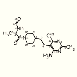 Cc1nc(N)c(CCC2CCN(C(=O)C(C)NC=O)CC2)c(Cl)n1